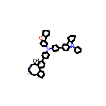 C=C1/C=C\C=C/Cc2ccccc2-c2ccc(-c3ccc(N(c4ccc(-c5ccc6c(c5)c5ccccc5n6-c5ccccc5)cc4)c4ccc5oc6ccccc6c5c4)cc3)cc21